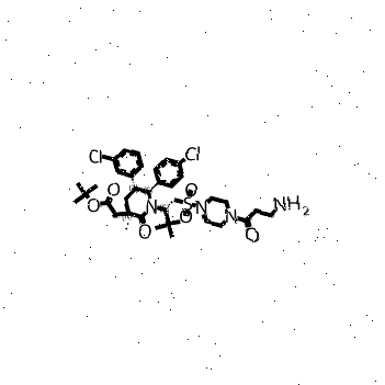 CC(C)(C)OC(=O)C[C@@]1(C)C[C@H](c2cccc(Cl)c2)[C@@H](c2ccc(Cl)cc2)N([C@H](CS(=O)(=O)N2CCN(C(=O)CCN)CC2)C(C)(C)C)C1=O